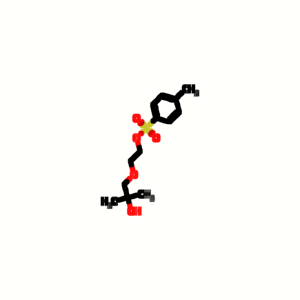 Cc1ccc(S(=O)(=O)OCCOCC(C)(C)O)cc1